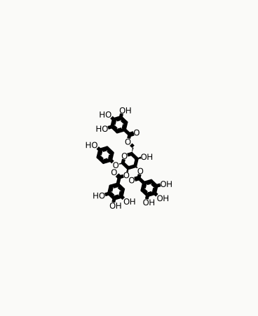 O=C(OC[C@H]1O[C@@H](Oc2ccc(O)cc2)[C@H](OC(=O)c2cc(O)c(O)c(O)c2)[C@@H](OC(=O)c2cc(O)c(O)c(O)c2)[C@@H]1O)c1cc(O)c(O)c(O)c1